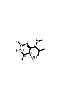 CO/N=C(/[C@@H](OC)C(C)C)[C@@H](O)[C@@H](C)O